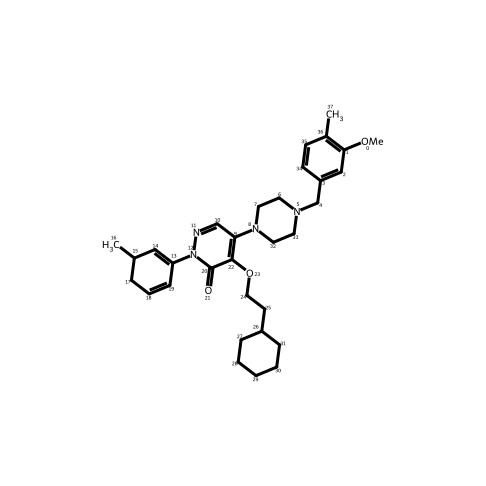 COc1cc(CN2CCN(c3cnn(C4=CC(C)CC=C4)c(=O)c3OCCC3CCCCC3)CC2)ccc1C